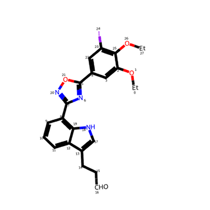 CCOc1cc(-c2nc(-c3cccc4c(CCC=O)c[nH]c34)no2)cc(I)c1OCC